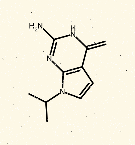 C=C1NC(N)=Nc2c1ccn2C(C)C